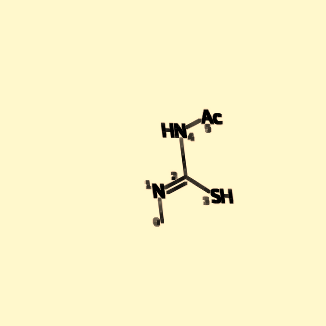 C/N=C(\S)NC(C)=O